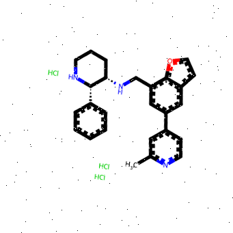 Cc1cc(-c2cc(CN[C@H]3CCCN[C@H]3c3ccccc3)c3occc3c2)ccn1.Cl.Cl.Cl